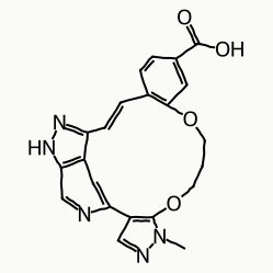 Cn1ncc2c1OCCCOc1cc(C(=O)O)ccc1/C=C/c1n[nH]c3cnc-2cc13